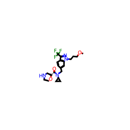 COCCCn1nc(C(F)(F)F)c2ccc(CN(C(=O)[C@H]3CNCCO3)C3CC3)cc21